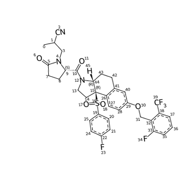 CC(C#N)CN1C(=O)CC[C@H]1C(=O)N1CC[C@@]2(S(=O)(=O)c3ccc(F)cc3)c3ccc(OCc4c(F)cccc4C(F)(F)F)cc3CC[C@@H]12